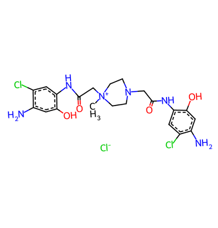 C[N+]1(CC(=O)Nc2cc(Cl)c(N)cc2O)CCN(CC(=O)Nc2cc(Cl)c(N)cc2O)CC1.[Cl-]